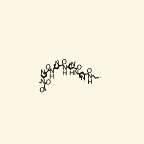 [CH2]CCNC(=O)c1cc(NC(=O)c2cc(NC(=O)c3cc(NC(=O)c4cc(N(C)C(=O)C5CO5)cn4C)cn3C)cn2C)cn1C